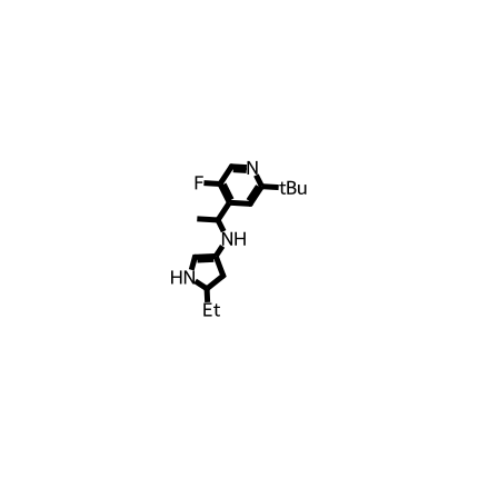 CCC1CC(NC(C)c2cc(C(C)(C)C)ncc2F)=CN1